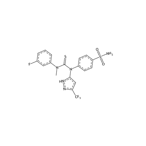 CN(C(=S)N(c1ccc(S(N)(=O)=O)cc1)c1cc(C(F)(F)F)n[nH]1)c1cccc(F)c1